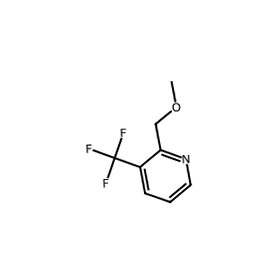 COCc1ncccc1C(F)(F)F